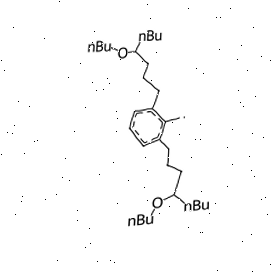 [CH2]c1c(CCCC(CCCC)OCCCC)cccc1CCCC(CCCC)OCCCC